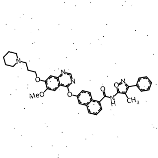 COc1cc2c(Oc3ccc4c(C(=O)Nc5onc(-c6ccccc6)c5C)cccc4c3)ncnc2cc1OCCCN1CCCCC1